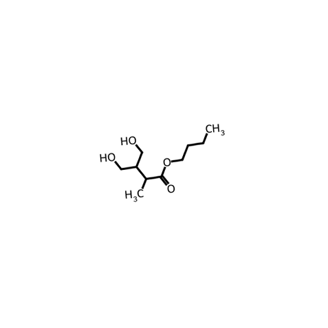 CCCCOC(=O)C(C)C(CO)CO